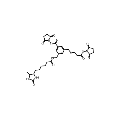 CC1NC(=O)NC1CCCCCC(=O)NCc1cc(CSCCC(=O)ON2C(=O)CCC2=O)cc(C(=O)ON2C(=O)CCC2=O)c1